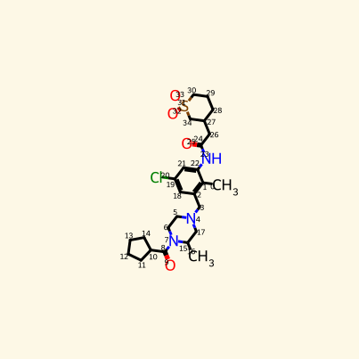 Cc1c(CN2CCN(C(=O)C3CCCC3)C(C)C2)cc(Cl)cc1NC(=O)CC1CCCS(=O)(=O)C1